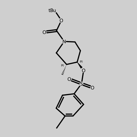 Cc1ccc(S(=O)(=O)O[C@@H]2CCN(C(=O)OC(C)(C)C)C[C@H]2C)cc1